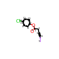 O=C(CC#CI)Oc1ccc(Cl)cc1